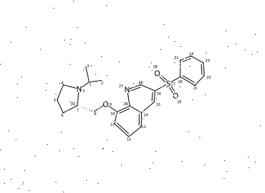 CC(C)N1CCC[C@H]1COc1cccc2cc(S(=O)(=O)c3ccccc3)cnc12